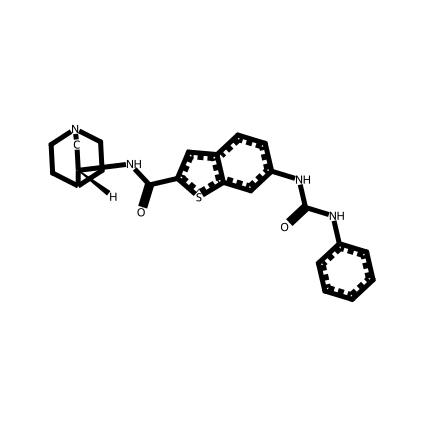 O=C(Nc1ccccc1)Nc1ccc2cc(C(=O)N[C@H]3CN4CCC3CC4)sc2c1